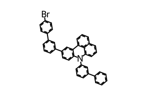 Brc1ccc(-c2cccc(-c3ccc4c(c3)-c3cccc5cccc(c35)N4c3cccc(-c4ccccc4)c3)c2)cc1